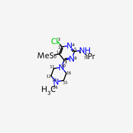 CSc1c(Cl)nc(NC(C)C)nc1N1CCN(C)CC1